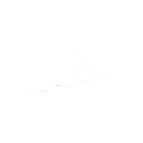 COC(=O)Cc1cc(N)cc(C)c1Br